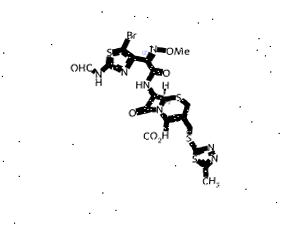 CO/N=C(\C(=O)NC1C(=O)N2C(C(=O)O)=C(CSc3nnc(C)s3)CS[C@H]12)c1nc(NC=O)sc1Br